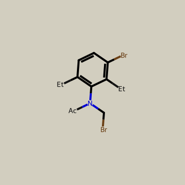 CCc1ccc(Br)c(CC)c1N(CBr)C(C)=O